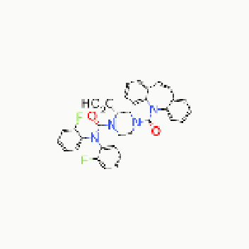 O=C(O)[C@@H]1CN(C(=O)N2c3ccccc3C=Cc3ccccc32)CCN1C(=O)N(c1ccccc1F)c1ccccc1F